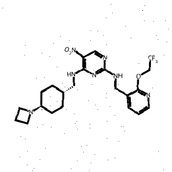 O=[N+]([O-])c1cnc(NCc2cccnc2OCC(F)(F)F)nc1NC[C@H]1CC[C@H](N2CCC2)CC1